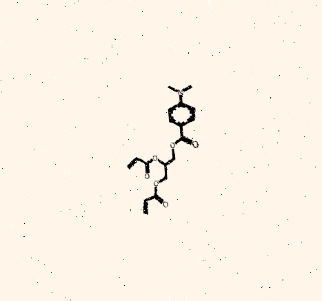 C=CC(=O)OCC(COC(=O)c1ccc(N(C)C)cc1)OC(=O)C=C